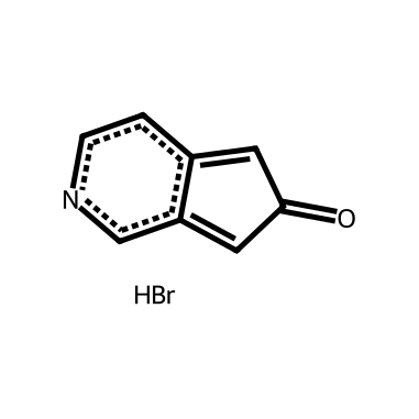 Br.O=C1C=c2ccncc2=C1